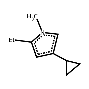 CCc1cc(C2CC2)cn1C